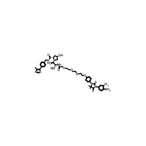 Cc1ncsc1-c1ccc(CNC(=O)[C@@H]2C[C@@H](O)CN2C(=O)[C@@H](NC(=O)COCCOCCOCCOc2ccc(N3C(=S)N(c4ccc([N+](=O)[O-])c(C(F)(F)F)c4)C(=O)C3(C)C)cc2)C(C)(C)C)cc1